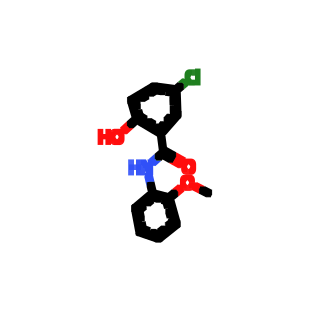 COc1ccccc1NC(=O)c1cc(Cl)ccc1O